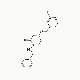 O=C1CC(OCc2cccc(F)c2)CCN1NCc1ccccc1